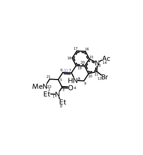 CCN(CC)C(=O)C(/C=C1\NCc2c(Br)n(C(C)=O)c3cccc1c23)CNC